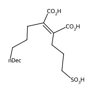 CCCCCCCCCCCCCC(C(=O)O)=C(CCCS(=O)(=O)O)C(=O)O